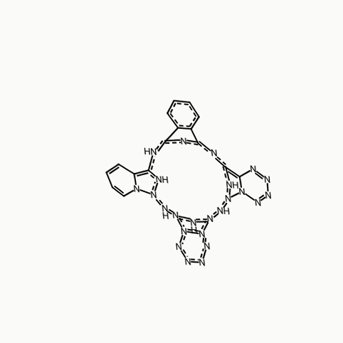 C1=CC2=c3[nH]c4nc(nc5[nH]n([nH]n6[nH]n([nH]n([nH]3)N2C=C1)n1nnnnn61)N1N=NN=NC=51)-c1ccccc1-4